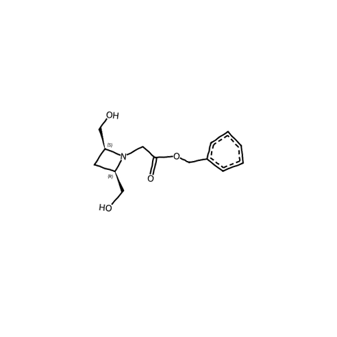 O=C(CN1[C@H](CO)C[C@@H]1CO)OCc1ccccc1